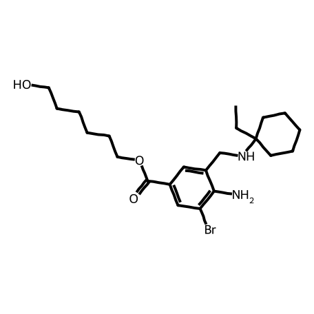 CCC1(NCc2cc(C(=O)OCCCCCCO)cc(Br)c2N)CCCCC1